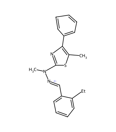 CCc1ccccc1/C=N/N(C)c1nc(-c2ccccc2)c(C)s1